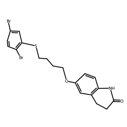 O=C1CCc2cc(OCCCCSc3cc(Br)ccc3Br)ccc2N1